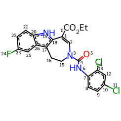 CCOC(=O)C1=CN(C(=O)Nc2ccc(Cl)cc2Cl)CCc2c1[nH]c1ccc(F)cc21